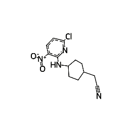 N#CCC1CCC(Nc2nc(Cl)ccc2[N+](=O)[O-])CC1